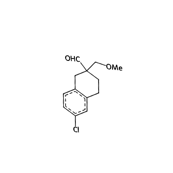 COCC1(C=O)CCc2cc(Cl)ccc2C1